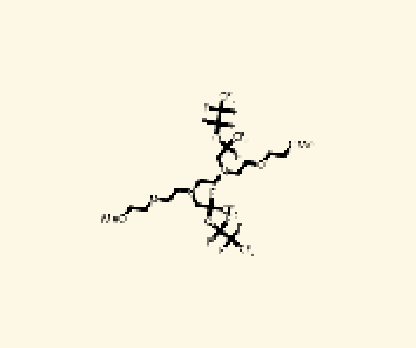 COCCOCCN(CCN(CCOCCOC)CC(F)(OC(F)(F)C(F)(F)C(F)(F)F)C(F)(F)F)CC(F)(OC(F)(F)C(F)(F)C(F)(F)F)C(F)(F)F